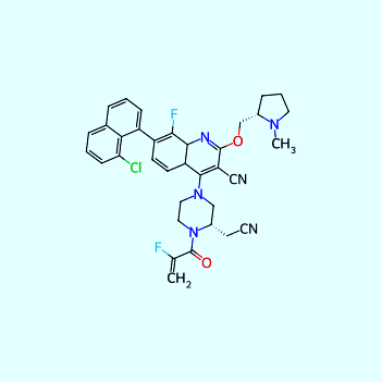 C=C(F)C(=O)N1CCN(C2=C(C#N)C(OC[C@@H]3CCCN3C)=NC3C(F)=C(c4cccc5cccc(Cl)c45)C=CC23)C[C@@H]1CC#N